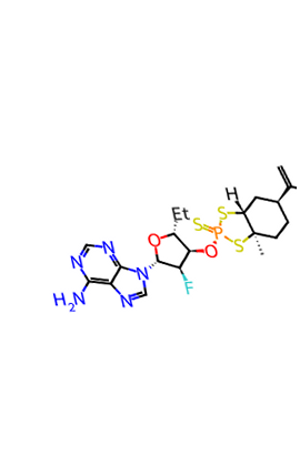 C=C(C)[C@H]1CC[C@@]2(C)S[P@@](=S)(O[C@H]3[C@@H](F)[C@H](n4cnc5c(N)ncnc54)O[C@@H]3CC)S[C@@H]2C1